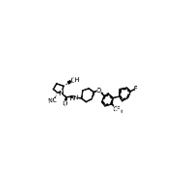 C#C[C@H]1CC[C@@H](C#N)N1C(=O)CNC1CCC(Oc2ccc(C(F)(F)F)c(-c3ccc(F)cc3)c2)CC1